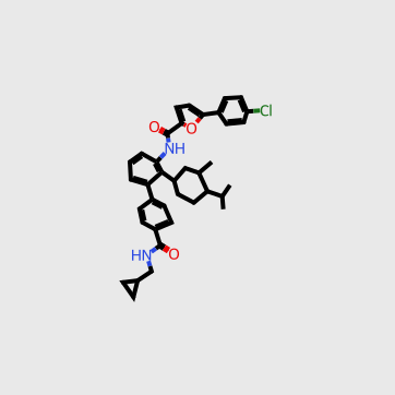 CC(C)C1CCC(c2c(NC(=O)c3ccc(-c4ccc(Cl)cc4)o3)cccc2-c2ccc(C(=O)NCC3CC3)cc2)CC1C